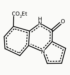 CCOC(=O)c1cccc2c1[nH]c(=O)c1cccn12